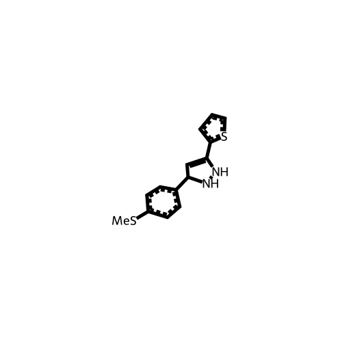 CSc1ccc(C2C=C(c3cccs3)NN2)cc1